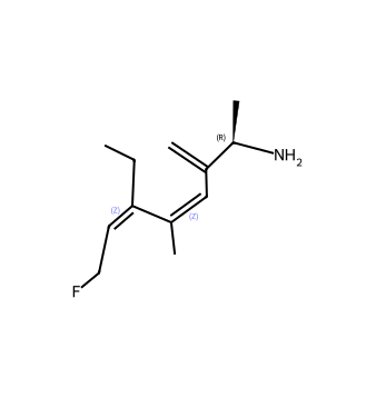 C=C(/C=C(C)\C(=C/CF)CC)[C@@H](C)N